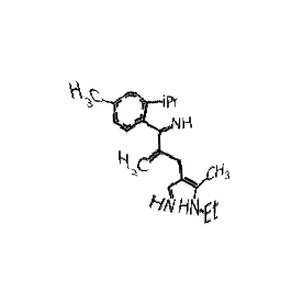 C=C(C/C(C=N)=C(\C)NCC)C(=N)c1ccc(C)cc1C(C)C